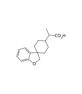 CC(C(=O)O)C1CCC2(CC1)COc1ccccc12